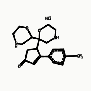 Cl.O=C1C=C(c2ccc(C(F)(F)F)cc2)C(C2(C3CNCCO3)CNCCO2)C1